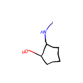 OC1CCCC1NI